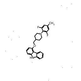 Cc1cc(F)c(N2CCC(COc3cccc4[nH]c5ccccc5c34)CC2)c(F)c1